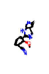 COc1c(C#N)cccc1C1N=Cc2ccncc2N1